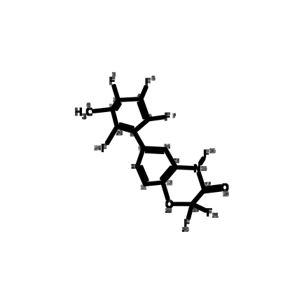 Cc1c(F)c(F)c(F)c(-c2ccc3c(c2)N(F)C(=O)C(F)(F)O3)c1F